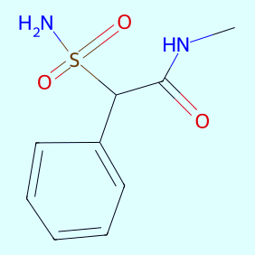 CNC(=O)C(c1ccccc1)S(N)(=O)=O